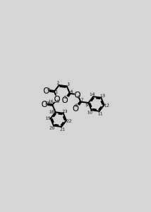 O=C(/C=C\C(=O)OC(=O)c1ccccc1)OC(=O)c1ccccc1